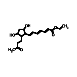 CCOC(=O)C=CC=CC=CC1C(O)CC(O)C1CCC(C)=O